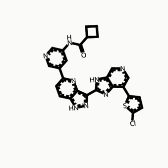 O=C(Nc1cncc(-c2ccc3[nH]nc(-c4nc5c(-c6ccc(Cl)s6)cncc5[nH]4)c3n2)c1)C1CCC1